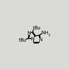 CC(C)(C)c1nc(C(C)(C)C)n2ccnc(N)c12